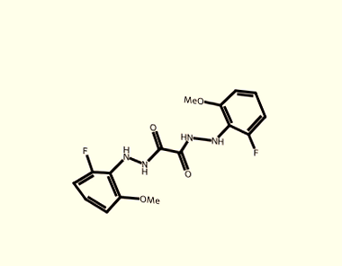 COc1cccc(F)c1NNC(=O)C(=O)NNc1c(F)cccc1OC